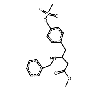 COC(=O)CC(Cc1ccc(OS(C)(=O)=O)cc1)NCc1ccccc1